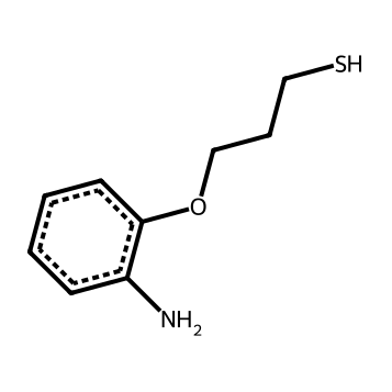 Nc1ccccc1OCCCS